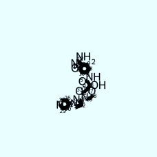 C[C@]1(C(O)C(=O)Nc2ccc3c(N)noc3c2)OCCN(c2ccn(-c3ccncc3)n2)C1=O